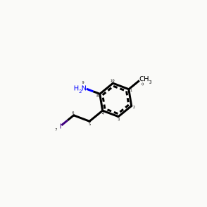 Cc1ccc(CCI)c(N)c1